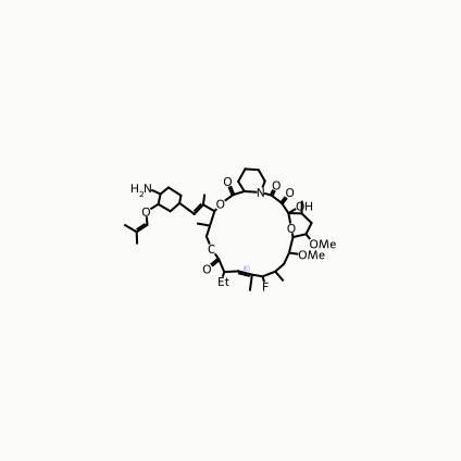 CCC1/C=C(\C)C(F)C(C)CC(OC)C2OC(O)(C(=O)C(=O)N3CCCCC3C(=O)OC(C(C)=CC3CCC(N)C(OC=C(C)C)C3)C(C)CCC1=O)C(C)CC2OC